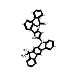 CC1(C)c2ccccc2-c2cc3c4ccccc4n(-c4cc5c(s4)c4cccc6c7ccccc7c(=O)n5c64)c3cc21